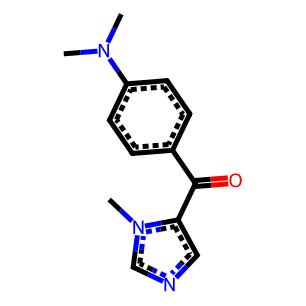 CN(C)c1ccc(C(=O)c2cncn2C)cc1